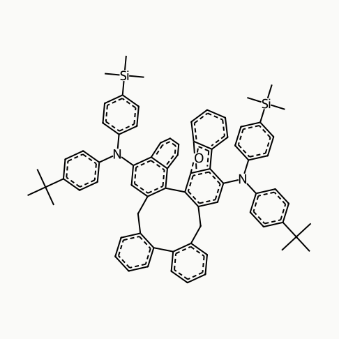 CC(C)(C)c1ccc(N(c2ccc([Si](C)(C)C)cc2)c2cc3c(c4ccccc24)-c2c(cc(N(c4ccc(C(C)(C)C)cc4)c4ccc([Si](C)(C)C)cc4)c4c2oc2ccccc24)Cc2ccccc2-c2ccccc2C3)cc1